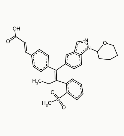 CCC(=C(c1ccc(C=CC(=O)O)cc1)c1ccc2c(cnn2C2CCCCO2)c1)c1ccccc1S(C)(=O)=O